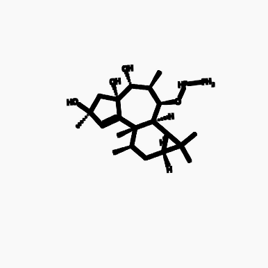 C[C@H]1[C@@H](OPP)[C@H]2[C@@H]3[C@@H](C[C@@H](C)[C@]2(C)C2=C[C@@](C)(O)C[C@@]2(O)[C@@H]1O)C3(C)C